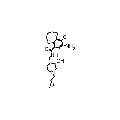 COCCN1CC[C@@H](CNC(=O)c2cc(N)c(Cl)c3c2OCCCO3)[C@H](O)C1